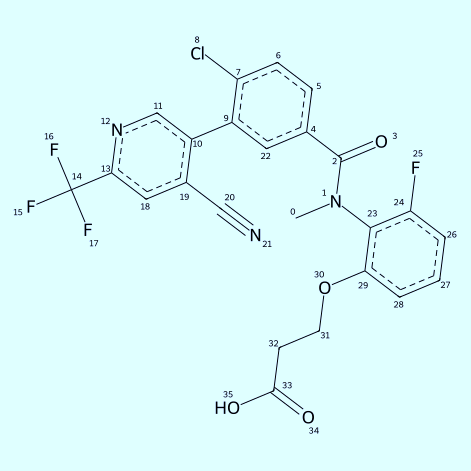 CN(C(=O)c1ccc(Cl)c(-c2cnc(C(F)(F)F)cc2C#N)c1)c1c(F)cccc1OCCC(=O)O